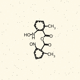 Cc1cccc(N=O)c1C(=O)OC(=O)c1c(C)cccc1NO